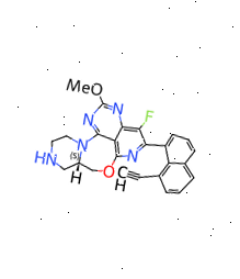 C#Cc1cccc2cccc(-c3nc4c5c(nc(OC)nc5c3F)N3CCNC[C@H]3CO4)c12